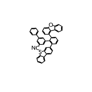 N#Cc1cc(-c2ccccc2)cc(-c2c(-c3ccc4c(c3)sc3ccccc34)cccc2-c2cccc3oc4ccccc4c23)c1